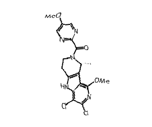 COc1cnc(C(=O)N2CCc3[nH]c4c(Cl)c(Cl)nc(OC)c4c3[C@H]2C)nc1